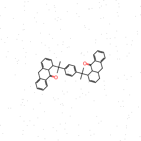 CC(C)(c1ccc(C(C)(C)C2C=CCC3Cc4ccccc4C(=O)C32)cc1)C1C=CC=C2Cc3ccccc3C(=O)C21